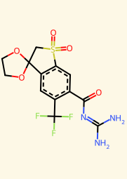 NC(N)=NC(=O)c1cc2c(cc1C(F)(F)F)C1(CS2(=O)=O)OCCO1